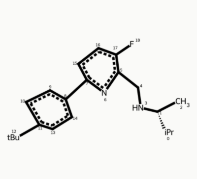 CC(C)[C@@H](C)NCc1nc(-c2ccc(C(C)(C)C)cc2)ccc1F